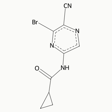 N#Cc1ncc(NC(=O)C2CC2)nc1Br